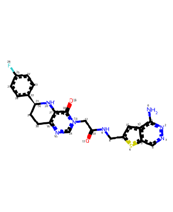 Nc1nncc2sc(CNC(=O)Cn3cnc4c(c3=O)N[C@H](c3ccc(F)cc3)CC4)cc12